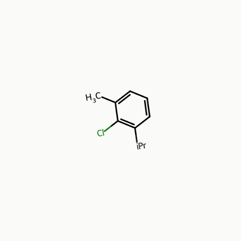 Cc1cccc(C(C)C)c1Cl